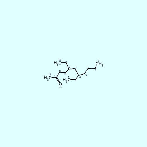 CCCCC(CC)CC(CC)CCC(C)=O